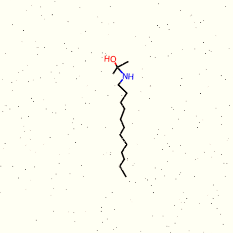 CCCCCCCCCCCCNC(C)(C)O